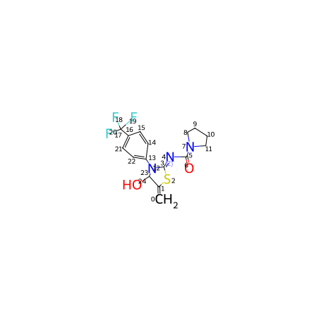 C=C1S/C(=N\C(=O)N2CCCC2)N(c2ccc(C(F)(F)F)cc2)C1O